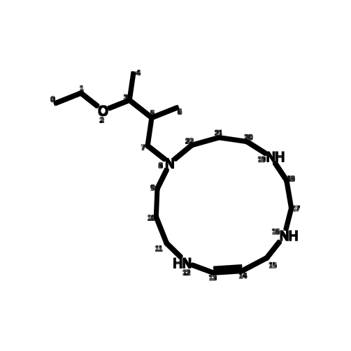 CCOC(C)C(C)CN1CCCN/C=C\CNCCNCCC1